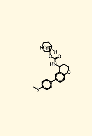 CSc1ccc(-c2ccc3c(c2)C(NC(=O)O[C@H]2CN4CCC2CC4)CCO3)cc1